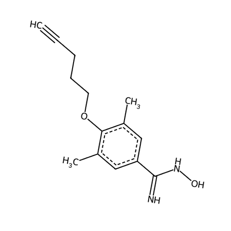 C#CCCCOc1c(C)cc(C(=N)NO)cc1C